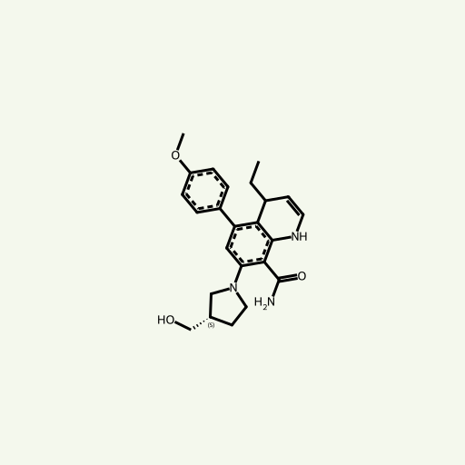 CCC1C=CNc2c(C(N)=O)c(N3CC[C@H](CO)C3)cc(-c3ccc(OC)cc3)c21